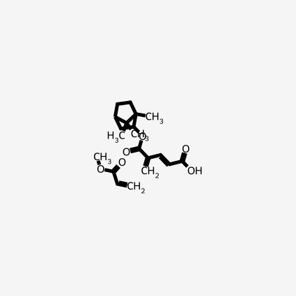 C=C(C=CC(=O)O)C(=O)OC1CC2CCC1(C)C2(C)C.C=CC(=O)OC